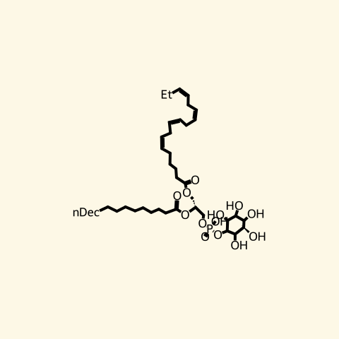 CC/C=C\C/C=C\C/C=C\C/C=C\CCCCC(=O)OC[C@H](COP(=O)(O)OC1C(O)C(O)C(O)[C@@H](O)C1O)OC(=O)CCCCCCCCCCCCCCCCCC